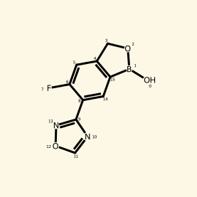 OB1OCc2cc(F)c(-c3ncon3)cc21